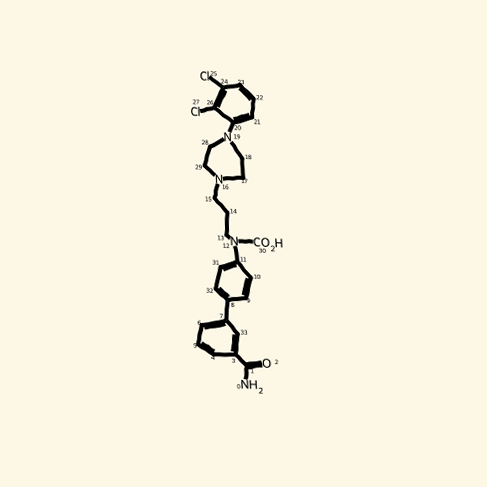 NC(=O)c1cccc(-c2ccc(N(CCCN3CCN(c4cccc(Cl)c4Cl)CC3)C(=O)O)cc2)c1